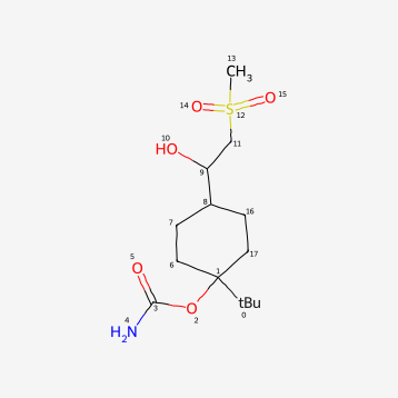 CC(C)(C)C1(OC(N)=O)CCC(C(O)CS(C)(=O)=O)CC1